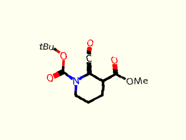 COC(=O)C1CCCN(C(=O)OC(C)(C)C)C1=C=O